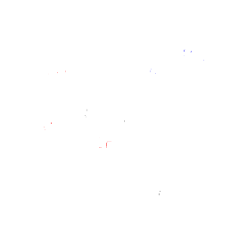 CCCCc1ccc(NN)cc1.O=C(O)C(=O)O